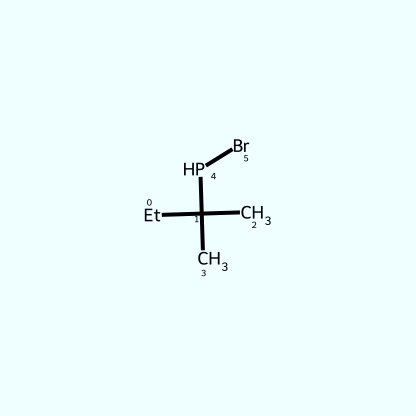 CCC(C)(C)PBr